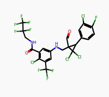 O=CC1(CNc2cc(C(=O)NCC(F)(F)C(F)(F)F)c(Cl)c(C(F)(F)F)c2)C(c2ccc(F)c(Cl)c2)C1(Cl)Cl